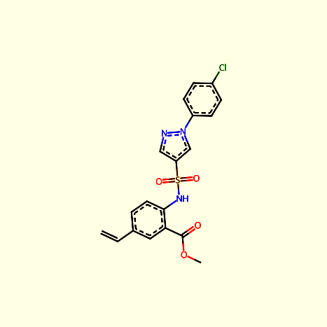 C=Cc1ccc(NS(=O)(=O)c2cnn(-c3ccc(Cl)cc3)c2)c(C(=O)OC)c1